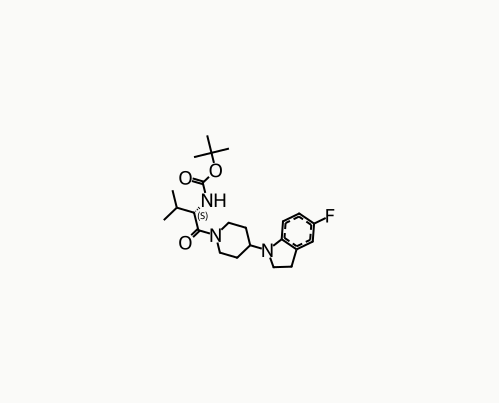 CC(C)[C@H](NC(=O)OC(C)(C)C)C(=O)N1CCC(N2CCc3cc(F)ccc32)CC1